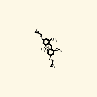 Cc1cc(OCC2CO2)cc(C)c1Cc1c(C)cc(OCC2CO2)cc1C